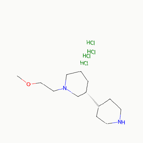 COCCN1CCC[C@H](C2CCNCC2)C1.Cl.Cl.Cl.Cl